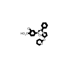 CN(C[C@@H](c1ccccc1)N1CC[C@H](OC2CCCCO2)C1)c1ccc(C(=O)O)c(Cl)c1